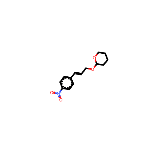 O=[N+]([O-])c1ccc(C=CCOC2CCCCO2)cc1